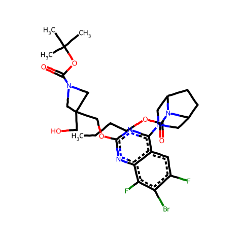 CCCCOC(=O)N1C2CCC1CN(c1nc(OCC3(CO)CN(C(=O)OC(C)(C)C)C3)nc3c(F)c(Br)c(F)cc13)C2